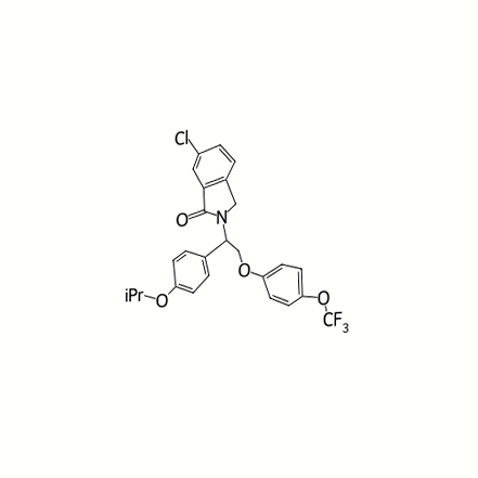 CC(C)Oc1ccc(C(COc2ccc(OC(F)(F)F)cc2)N2Cc3ccc(Cl)cc3C2=O)cc1